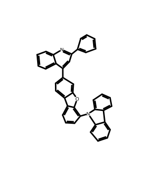 c1ccc(-c2cc(-c3ccc4c(c3)oc3c(-n5c6ccccc6c6ccccc65)cccc34)c3ccccc3n2)cc1